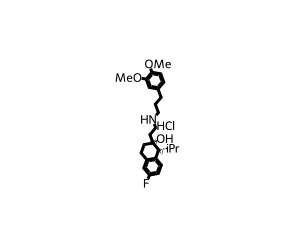 COc1ccc(CCCNCC[C@]2(O)CCc3cc(F)ccc3[C@H]2C(C)C)cc1OC.Cl